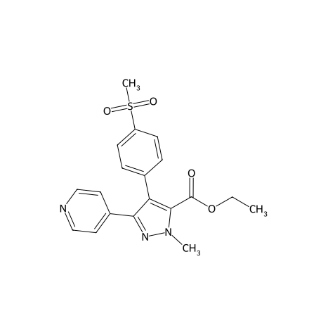 CCOC(=O)c1c(-c2ccc(S(C)(=O)=O)cc2)c(-c2ccncc2)nn1C